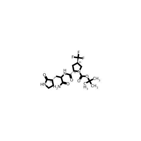 CC(C)(C)OC(=O)N1C[C@H](C(F)(F)F)C[C@H]1C(=O)NC(C[C@@H]1CCNC1=O)C(N)=O